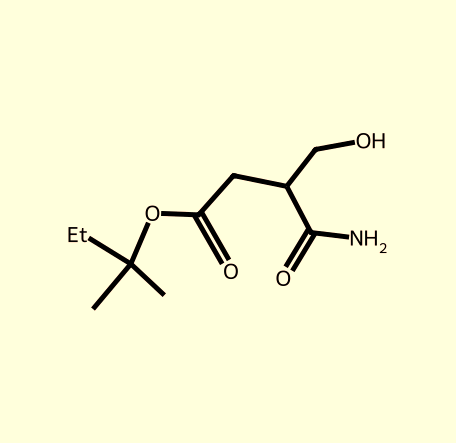 CCC(C)(C)OC(=O)CC(CO)C(N)=O